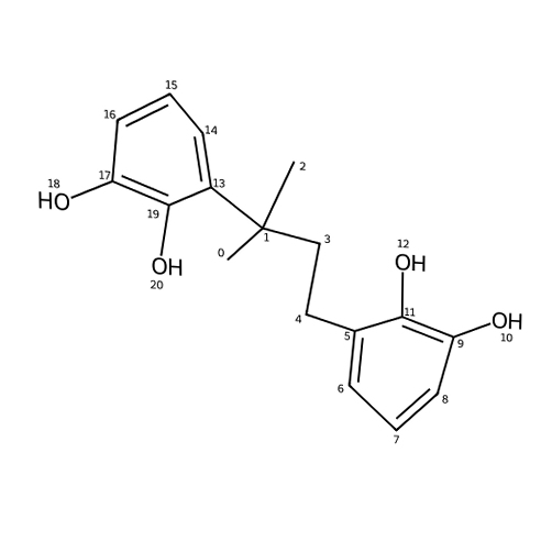 CC(C)(CCc1cccc(O)c1O)c1cccc(O)c1O